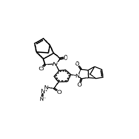 [N-]=[N+]=NC(=O)c1cc(N2C(=O)C3C4C=CC(C4)C3C2=O)cc(N2C(=O)C3C4C=CC(C4)C3C2=O)c1